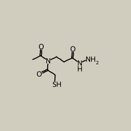 CC(=O)N(CCC(=O)NN)C(=O)CS